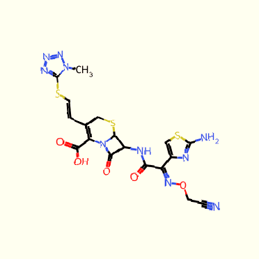 Cn1nnnc1S/C=C/C1=C(C(=O)O)N2C(=O)C(NC(=O)/C(=N/OCC#N)c3csc(N)n3)C2SC1